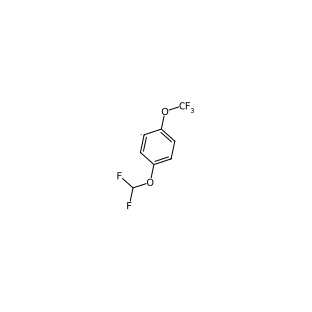 FC(F)Oc1c[c]c(OC(F)(F)F)cc1